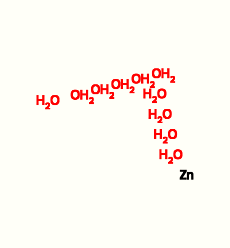 O.O.O.O.O.O.O.O.O.O.[Zn]